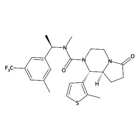 Cc1cc([C@@H](C)N(C)C(=O)N2CCN3C(=O)CC[C@H]3[C@@H]2c2ccsc2C)cc(C(F)(F)F)c1